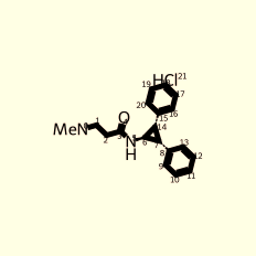 CNCCC(=O)N[C@@H]1[C@@H](c2ccccc2)[C@H]1c1ccccc1.Cl